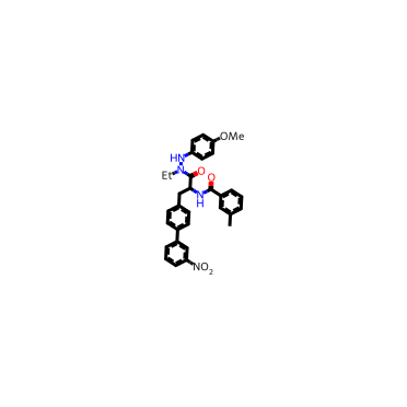 CCN(Nc1ccc(OC)cc1)C(=O)C(Cc1ccc(-c2cccc([N+](=O)[O-])c2)cc1)NC(=O)c1cccc(C)c1